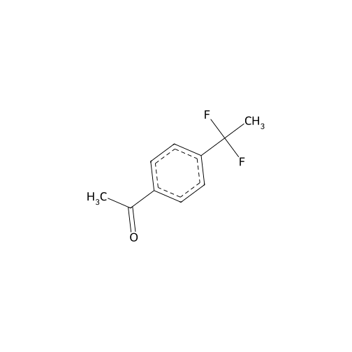 CC(=O)c1ccc(C(C)(F)F)cc1